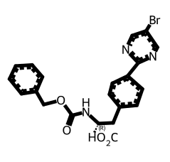 O=C(N[C@H](Cc1ccc(-c2ncc(Br)cn2)cc1)C(=O)O)OCc1ccccc1